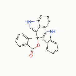 O=C1OC(c2c[nH]c3ccccc23)(c2c[nH]c3ccccc23)c2ccccc21